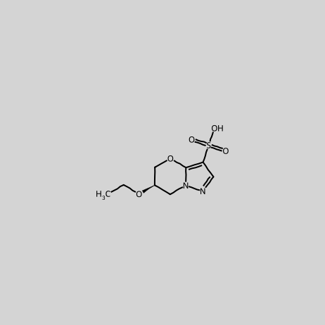 CCO[C@H]1COc2c(S(=O)(=O)O)cnn2C1